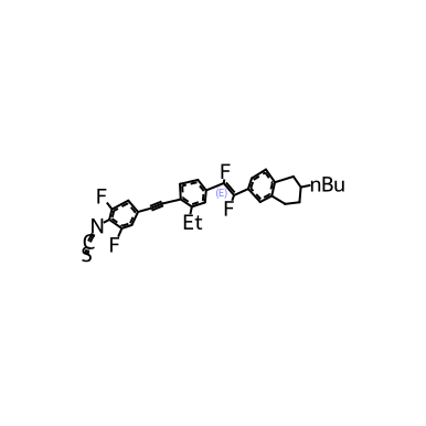 CCCCC1CCc2cc(/C(F)=C(\F)c3ccc(C#Cc4cc(F)c(N=C=S)c(F)c4)c(CC)c3)ccc2C1